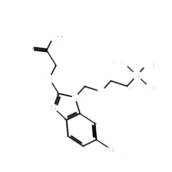 COC(=O)COc1nc2ccc([N+](=O)[O-])cc2n1COCC[Si](C)(C)C